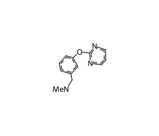 CNCc1cccc(Oc2ncccn2)c1